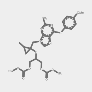 COc1ccc(Sc2nc(N)nc3c2ncn3CC2(O[C](COC(=O)OC(C)(C)C)COC(=O)OC(C)(C)C)CC2C)cc1